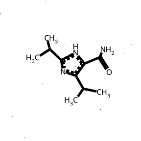 CC(C)c1nc(C(C)C)c(C(N)=O)[nH]1